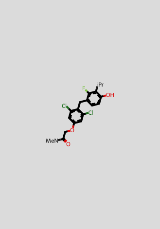 CNC(=O)COc1cc(Cl)c(Cc2ccc(O)c(C(C)C)c2F)c(Cl)c1